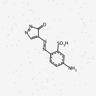 Nc1ccc(N=NC2=CN=NC2=O)c(S(=O)(=O)O)c1